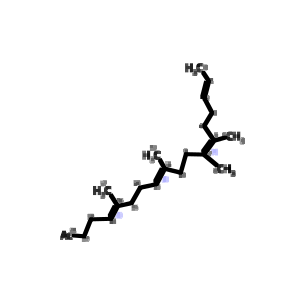 CC=CCC/C(C)=C(/C)CC/C(C)=C/CC/C(C)=C/CCC(C)=O